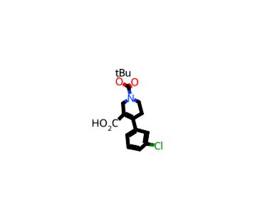 CC(C)(C)OC(=O)N1CCC(c2cccc(Cl)c2)=C(C(=O)O)C1